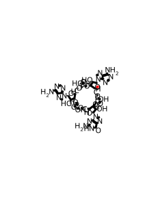 Nc1nc2c(ncn2[C@@H]2O[C@@H]3COP(=O)(O)O[C@H]4[C@@H](O)[C@H](n5cnc6c(N)ncnc65)O[C@@H]4COP(=O)(O)O[C@H]4[C@@H](O)[C@H](n5cnc6c(N)ncnc65)O[C@@H]4COP(=O)(O)O[C@H]3[C@H]2O)c(=O)[nH]1